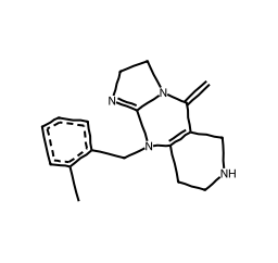 C=C1C2=C(CCNC2)N(Cc2ccccc2C)C2=NCCN12